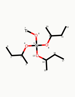 CCC(C)O[Si]([O][Ti])(OC(C)CC)OC(C)CC